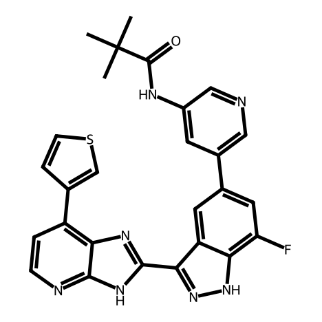 CC(C)(C)C(=O)Nc1cncc(-c2cc(F)c3[nH]nc(-c4nc5c(-c6ccsc6)ccnc5[nH]4)c3c2)c1